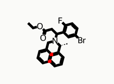 CCOC(=O)CC(c1cc(Br)ccc1F)N(Cc1ccccc1)[C@H](C)c1ccccc1